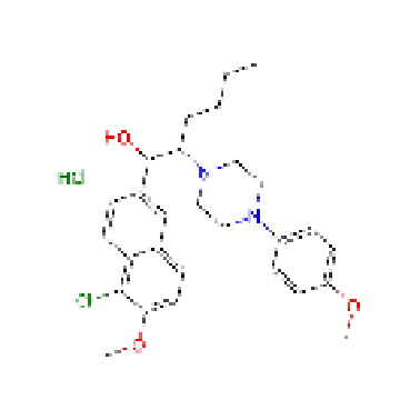 CCCCC(C(O)c1ccc2c(Cl)c(OC)ccc2c1)N1CCN(c2ccc(OC)cc2)CC1.Cl